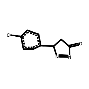 O=C1CC(c2ccc(Cl)cc2)N=N1